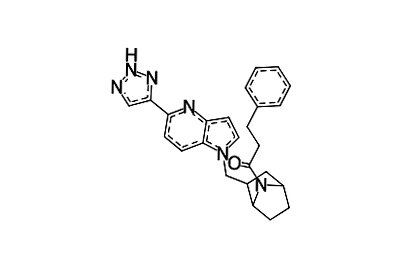 O=C(CCc1ccccc1)N1C2CCC1C(Cn1ccc3nc(-c4cn[nH]n4)ccc31)C2